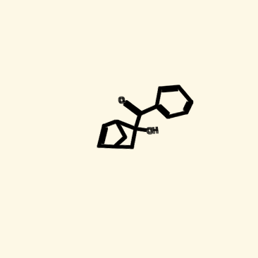 O=C(c1ccccc1)C1(O)CC2C=CC1C2